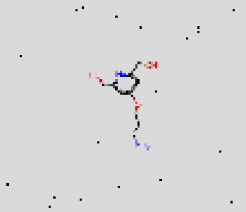 NCCCOc1cc(CO)nc(CO)c1